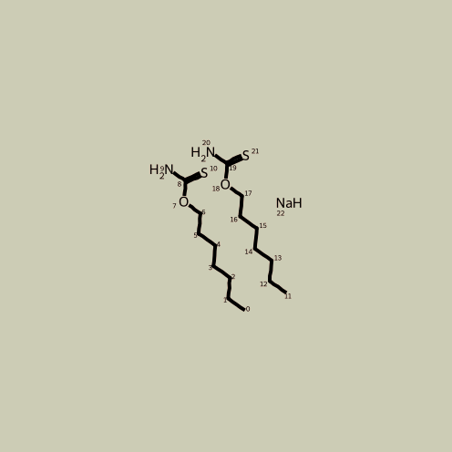 CCCCCCCOC(N)=S.CCCCCCCOC(N)=S.[NaH]